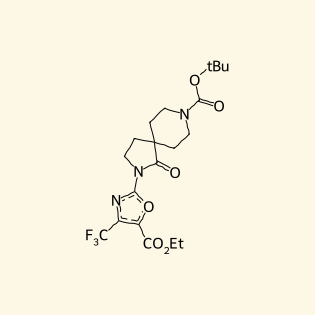 CCOC(=O)c1oc(N2CCC3(CCN(C(=O)OC(C)(C)C)CC3)C2=O)nc1C(F)(F)F